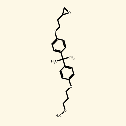 COCCCOc1ccc(C(C)(C)c2ccc(OCCC3CO3)cc2)cc1